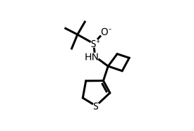 CC(C)(C)[S+]([O-])NC1(C2=CSCC2)CCC1